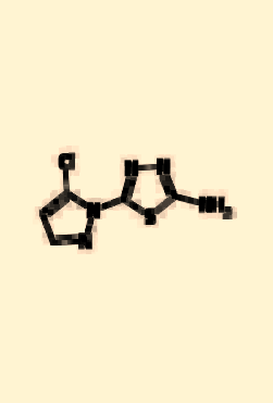 Nc1nnc(-n2nccc2Cl)s1